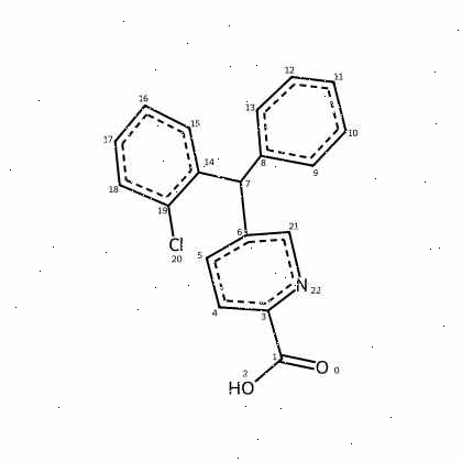 O=C(O)c1ccc(C(c2ccccc2)c2ccccc2Cl)cn1